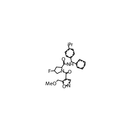 COCc1oncc1C(=O)N1CC(F)CC1C(=O)NC(c1ccccc1)c1ccc(C(C)C)cc1